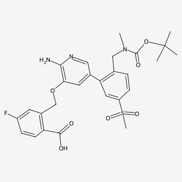 CN(Cc1ccc(S(C)(=O)=O)cc1-c1cnc(N)c(OCc2cc(F)ccc2C(=O)O)c1)C(=O)OC(C)(C)C